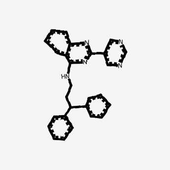 c1ccc(C(CCNc2nc(-c3cncnc3)nc3ccccc23)c2ccccc2)cc1